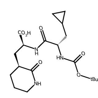 CC(C)(C)OC(=O)N[C@@H](CC1CC1)C(=O)N[C@@H](C[C@@H]1CCCNC1=O)C(=O)O